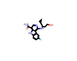 NC(=O)c1cnc(NC(CCO)C2CC2)c2c1[nH]c1ccc(F)cc12